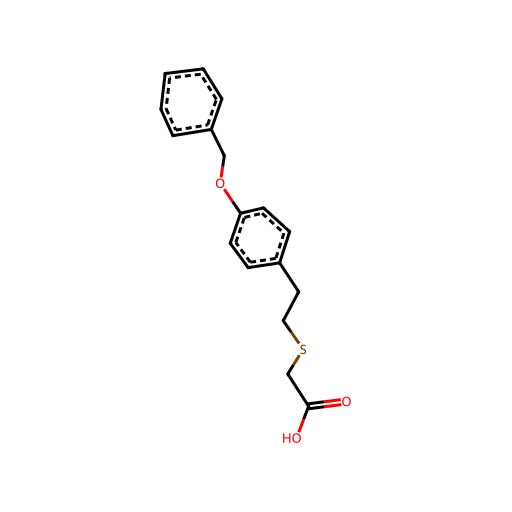 O=C(O)CSCCc1ccc(OCc2ccccc2)cc1